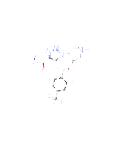 CN(C)C(=O)c1cn([C@@H]2CNC[C@H]2OCc2ccc(C(F)(F)F)cc2)nn1